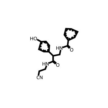 N#CCCNC(=O)C(CNC(=O)c1ccccc1)c1ccc(O)cc1